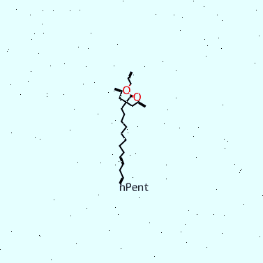 C=CCOC(=O)C(CC=C)(CC=C)CCCCCCCCC=CCC=CCCCCC